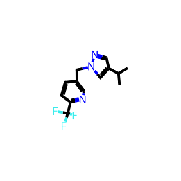 CC(C)c1cnn(Cc2ccc(C(F)(F)F)nc2)c1